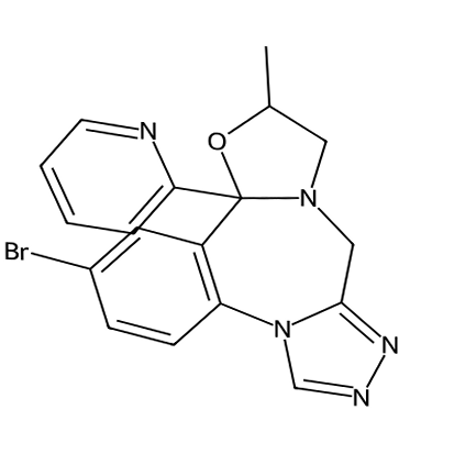 CC1CN2Cc3nncn3-c3ccc(Br)cc3C2(c2ccccn2)O1